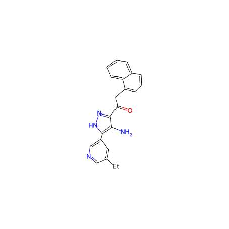 CCc1cncc(-c2[nH]nc(C(=O)Cc3cccc4ccccc34)c2N)c1